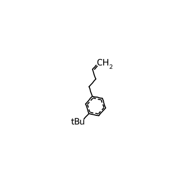 C=CCCc1cccc(C(C)(C)C)c1